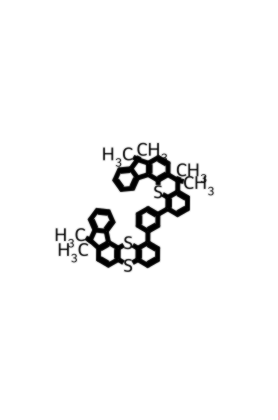 CC1(C)c2cccc(-c3cccc(-c4cccc5c4Sc4c(ccc6c4-c4ccccc4C6(C)C)S5)c3)c2Sc2c1ccc1c2-c2ccccc2C1(C)C